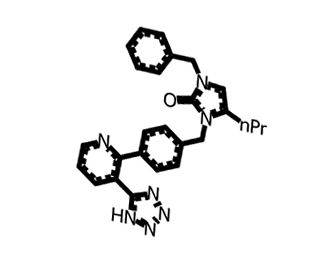 CCCc1cn(Cc2ccccc2)c(=O)n1Cc1ccc(-c2ncccc2-c2nnn[nH]2)cc1